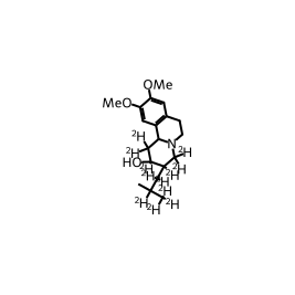 [2H]C([2H])([2H])C([2H])(C)C([2H])([2H])C1([2H])C([2H])([2H])N2CCc3cc(OC)c(OC)cc3C2C([2H])([2H])C1([2H])O